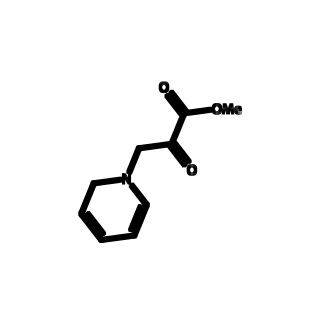 COC(=O)C(=O)CN1C=CC=CC1